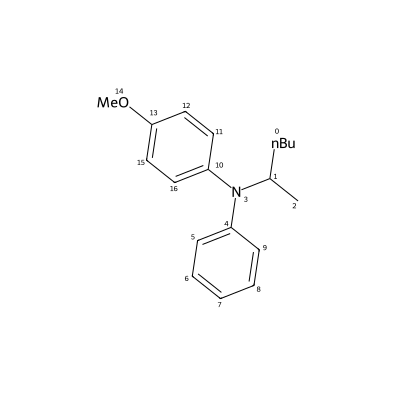 CCCCC(C)N(c1ccccc1)c1ccc(OC)cc1